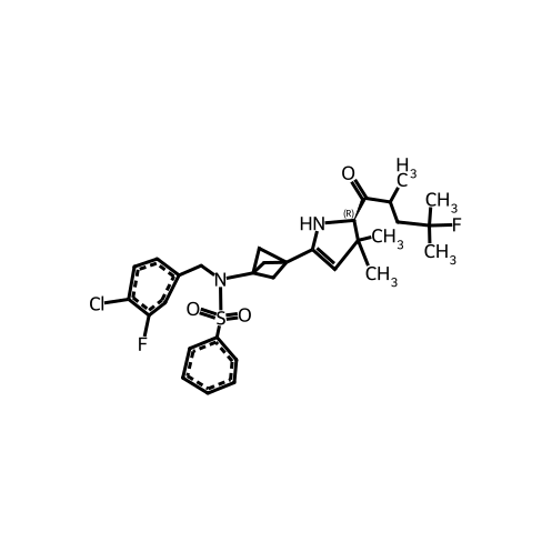 CC(CC(C)(C)F)C(=O)[C@@H]1NC(C23CC(N(Cc4ccc(Cl)c(F)c4)S(=O)(=O)c4ccccc4)(C2)C3)=CC1(C)C